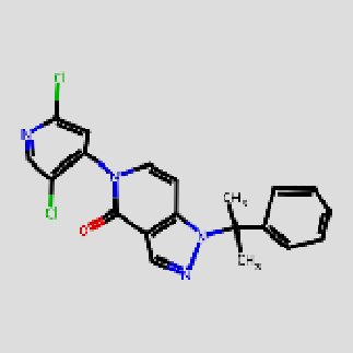 CC(C)(c1ccccc1)n1ncc2c(=O)n(-c3cc(Cl)ncc3Cl)ccc21